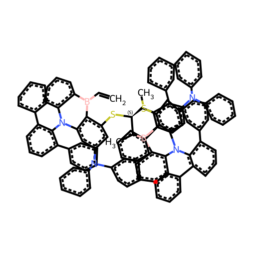 C=CB1c2ccccc2N(c2c(-c3ccccc3)cccc2-c2ccccc2)c2cc(N(c3ccccc3)c3ccccc3)cc(S[C@@H](Cc3c(-c4ccccc4)cccc3-c3ccccc3)C(C)B3c4ccccc4N(c4c(-c5ccccc5)cccc4-c4ccccc4)c4cc(N(c5ccccc5)c5ccccc5)cc(SC)c43)c21